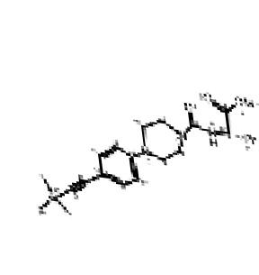 COC(=O)[C@@H](NC(=O)N1CCN(c2ccc(C#C[Si](C)(C)C)cc2)CC1)C(C)C